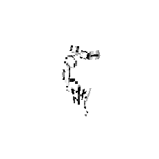 CCc1cnc(N2CCC(Oc3ccc(C(=O)O)cc3)CC2)nc1